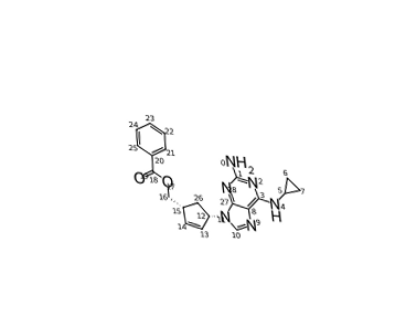 Nc1nc(NC2CC2)c2ncn([C@@H]3C=C[C@H](COC(=O)c4ccccc4)C3)c2n1